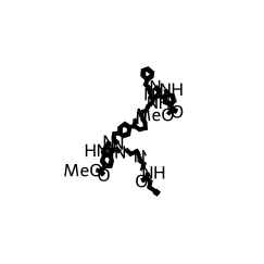 C#CCCC(=O)NCCCN(C)CCCNc1nc(Cc2ccc(C3CCCN(CCCNc4nc(Cc5ccccc5)nc5[nH]c6ccc(C(=O)OC)cc6c45)C3)cc2)nc2[nH]c3cc(C(=O)OC)ccc3c12